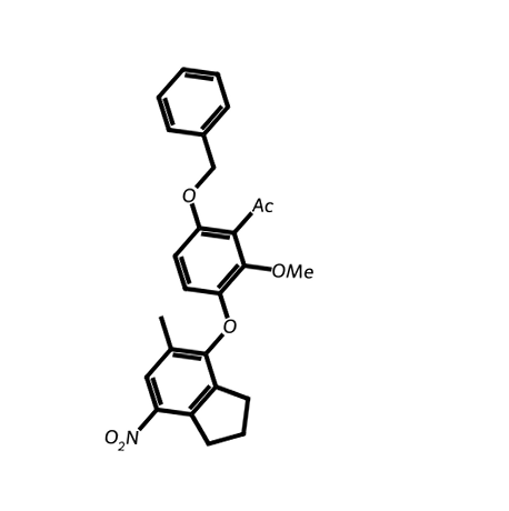 COc1c(Oc2c(C)cc([N+](=O)[O-])c3c2CCC3)ccc(OCc2ccccc2)c1C(C)=O